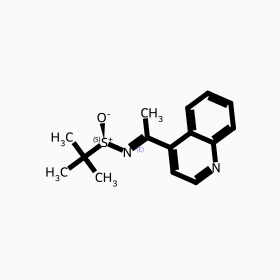 C/C(=N\[S@+]([O-])C(C)(C)C)c1ccnc2ccccc12